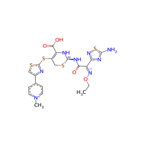 CCO/N=C(\C(=O)N[C@@H]1NC(C(=O)O)=C(Sc2nc(-c3cc[n+](C)cc3)cs2)CS1)c1nsc(N)n1